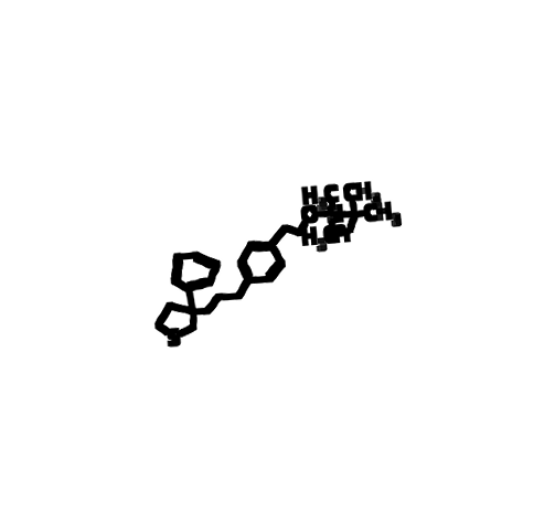 CC(C)C(C)(C)[Si](C)(C)OCCc1ccc(CCCC2(c3ccccc3)CCSC2)cc1